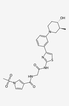 C[C@H]1CN(c2cccc(-c3csc(NC(=O)CNC(=O)c4ccn(S(C)(=O)=O)c4)n3)c2)CC[C@@H]1O